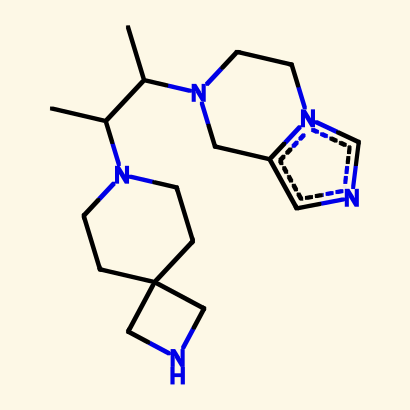 CC(C(C)N1CCn2cncc2C1)N1CCC2(CC1)CNC2